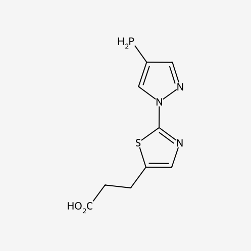 O=C(O)CCc1cnc(-n2cc(P)cn2)s1